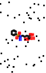 O=S(=O)(NCCC[Si](O)(O)O)c1ccccc1